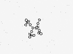 c1ccc(-c2ccc(-c3cc(-c4cc(-c5ccc(-c6nc7ccccc7n6-c6ccccc6)cc5)cc(-c5ccc(-c6nc7ccccc7n6-c6ccccc6)cc5)c4)nc(-c4ccc5c(c4)oc4ccccc45)n3)cc2)cc1